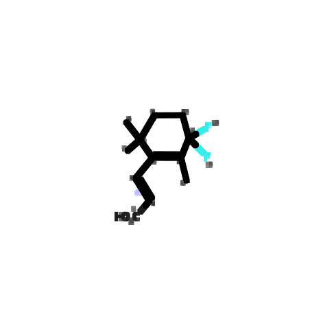 CC1=C(/C=C/C(=O)O)C(C)(C)CCC1(F)F